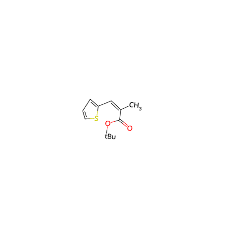 CC(=Cc1cccs1)C(=O)OC(C)(C)C